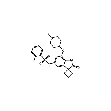 CN1CCC(Oc2cc(NS(=O)(=O)c3ccccc3F)cc3c2NC(=O)C32CCC2)CC1